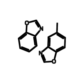 Cc1ccc2ocnc2c1.c1ccc2ocnc2c1